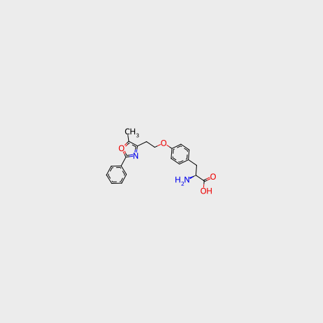 Cc1oc(-c2ccccc2)nc1CCOc1ccc(C[C@H](N)C(=O)O)cc1